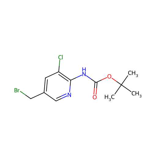 CC(C)(C)OC(=O)Nc1ncc(CBr)cc1Cl